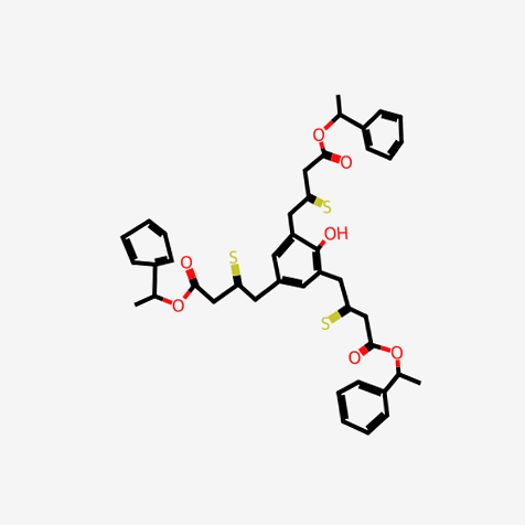 CC(OC(=O)CC(=S)Cc1cc(CC(=S)CC(=O)OC(C)c2ccccc2)c(O)c(CC(=S)CC(=O)OC(C)c2ccccc2)c1)c1ccccc1